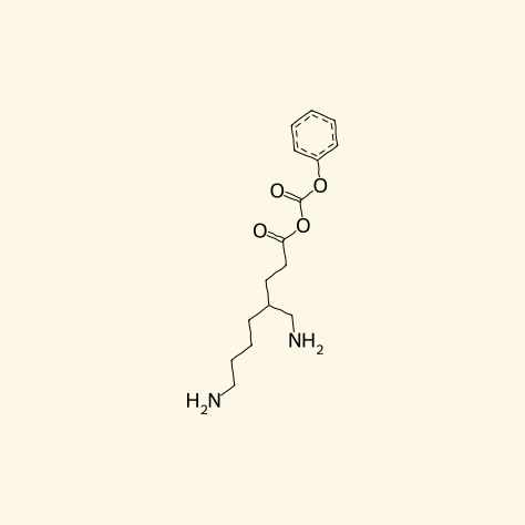 NCCCCC(CN)CCC(=O)OC(=O)Oc1ccccc1